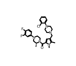 Cc1c(CN2CCN(c3ccccc3Cl)CC2)cc(C(=O)N2CCN(c3ccc(F)c(F)c3)C[C@@H]2C)n1C